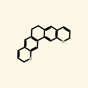 C1=Cc2cc3c(cc2OC1)-c1cc2c(cc1CC3)C=CCO2